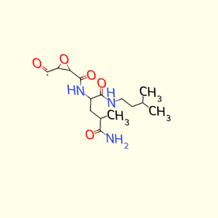 CC(C)CCNC(=O)C(CC(C)C(N)=O)NC(=O)C1OC1[C]=O